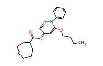 CCCCOc1cc(=NC(=O)C2CCCCCC2)cnn1-c1ccccc1